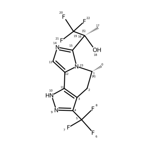 C[C@@H]1Cc2c(C(F)(F)F)n[nH]c2-c2cnc([C@](C)(O)C(F)(F)F)n21